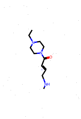 CCN1CCN(C(=O)/C=C/CNC)CC1